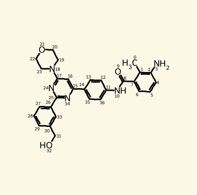 Cc1c(N)cccc1C(=O)Nc1ccc(-c2cc(N3CCOCC3)nc(-c3cccc(CO)c3)n2)cc1